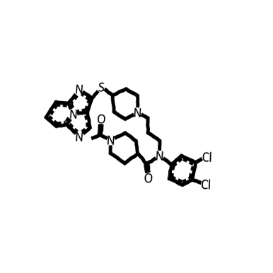 CC(=O)N1CCC(C(=O)N(CCCN2CCC(Sc3nc4cccc5ncc3n54)CC2)c2ccc(Cl)c(Cl)c2)CC1